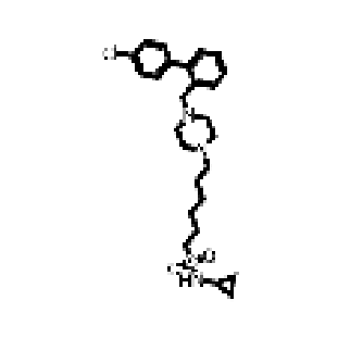 O=S(=O)(CCCCCCN1CCN(Cc2ccccc2-c2ccc(Cl)cc2)CC1)NC1CC1